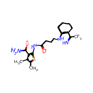 Cc1sc(NC(=O)CCCNC2=C(C(=N)C(F)(F)F)CCCC2)c(C(N)=O)c1C